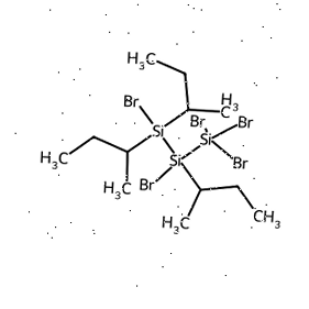 CCC(C)[Si](Br)(C(C)CC)[Si](Br)(C(C)CC)[Si](Br)(Br)Br